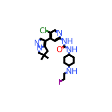 CC1(C)Cc2c(-c3cc(NC(=O)NC4CCC(NCCI)CC4)ncc3Cl)cnn2C1